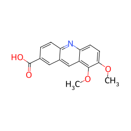 COc1ccc2nc3ccc(C(=O)O)cc3cc2c1OC